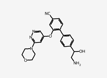 N#Cc1ccc(-c2ccc(C(O)CN)cc2)c(Oc2cnnc(N3CCOCC3)c2)c1